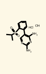 CC(C)S(=O)(=O)c1ccccc1-c1cnc(N)nc1N.Cl.Cl